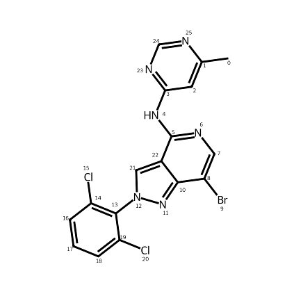 Cc1cc(Nc2ncc(Br)c3nn(-c4c(Cl)cccc4Cl)cc23)ncn1